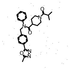 Cc1nnc(-c2ccc(CN(C(=O)C3CCN(C(=O)C(C)C)CC3)c3ccccc3)cc2)o1